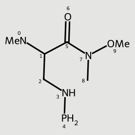 CNC(CNP)C(=O)N(C)OC